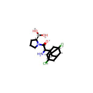 NC(C(=O)N1CCC[C@H]1B(O)O)C12CC3CC(Cl)(CC(Cl)(C3)C1)C2